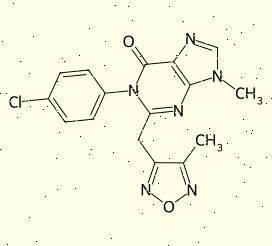 Cc1nonc1Cc1nc2c(ncn2C)c(=O)n1-c1ccc(Cl)cc1